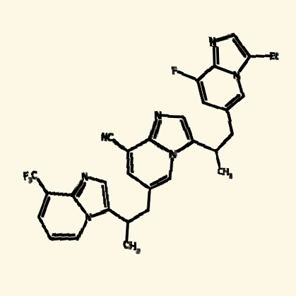 CCc1cnc2c(F)cc(CC(C)c3cnc4c(C#N)cc(CC(C)c5cnc6c(C(F)(F)F)cccn56)cn34)cn12